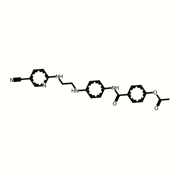 CC(=O)Oc1ccc(C(=O)Nc2ccc(NCCNc3ccc(C#N)cn3)cc2)cc1